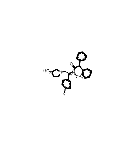 CN(C(=O)C(c1ccccc1)c1ccccc1)[C@H](CN1CC[C@H](O)C1)c1ccc(F)cc1